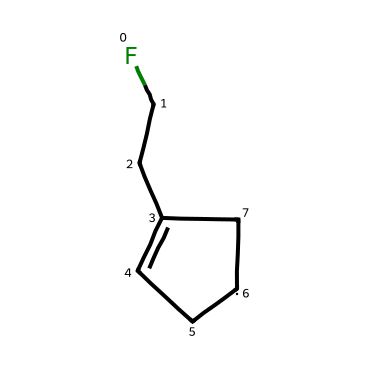 FCCC1=CC[CH]C1